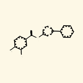 O=C(Nc1nnc(-c2ccccc2)s1)c1ccc(Cl)c([N+](=O)[O-])c1